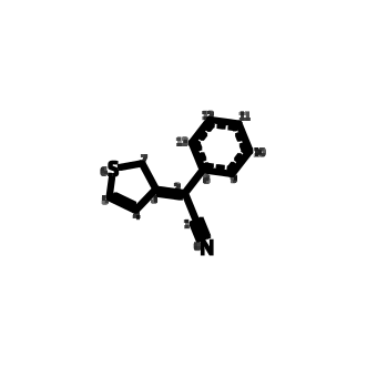 N#CC(=C1C=CSC1)c1ccccc1